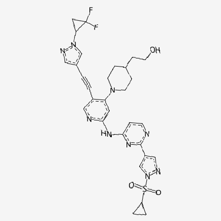 O=S(=O)(C1CC1)n1cc(-c2nccc(Nc3cc(N4CCC(CCO)CC4)c(C#Cc4cnn(C5CC5(F)F)c4)cn3)n2)cn1